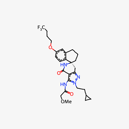 COCC(=O)Nc1c2c(nn1CCC1CC1)C[C@]1(CCCc3cc(OCCCC(F)(F)F)ccc31)NC2=O